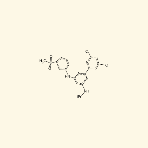 CC(C)Nc1cc(Nc2cccc(S(C)(=O)=O)c2)nc(-c2cc(Cl)cc(Cl)n2)n1